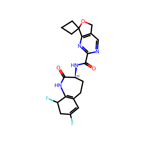 O=C(N[C@H]1CCC2=C(NC1=O)C(F)CC(F)=C2)c1ncc2c(n1)C1(CCC1)OC2